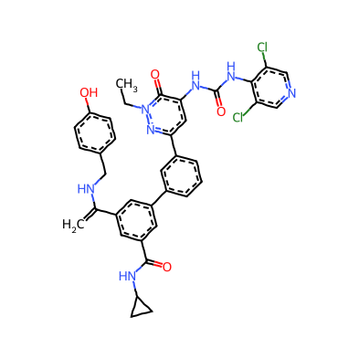 C=C(NCc1ccc(O)cc1)c1cc(C(=O)NC2CC2)cc(-c2cccc(-c3cc(NC(=O)Nc4c(Cl)cncc4Cl)c(=O)n(CC)n3)c2)c1